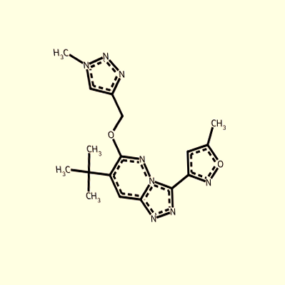 Cc1cc(-c2nnc3cc(C(C)(C)C)c(OCc4cn(C)nn4)nn23)no1